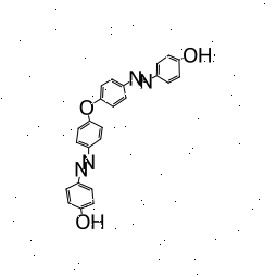 Oc1ccc(N=Nc2ccc(Oc3ccc(N=Nc4ccc(O)cc4)cc3)cc2)cc1